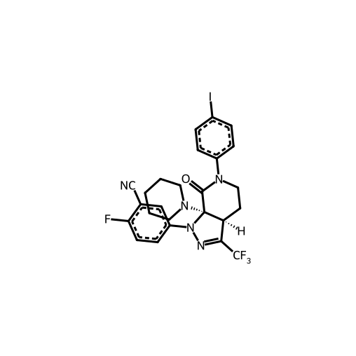 N#Cc1cc(N2N=C(C(F)(F)F)[C@@H]3CCN(c4ccc(I)cc4)C(=O)[C@@]32N2CCCCC2)ccc1F